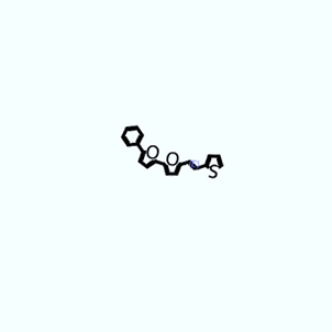 C(=C\c1cccs1)/c1ccc(-c2ccc(-c3ccccc3)o2)o1